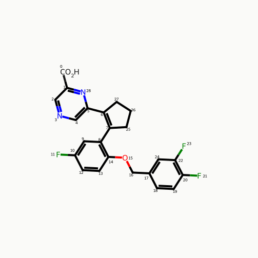 O=C(O)c1cncc(C2=C(c3cc(F)ccc3OCc3ccc(F)c(F)c3)CCC2)n1